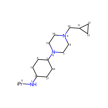 CC(C)NC1CCC(N2CCN(CC3CC3)CC2)CC1